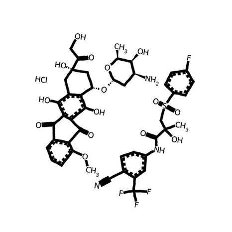 CC(O)(CS(=O)(=O)c1ccc(F)cc1)C(=O)Nc1ccc(C#N)c(C(F)(F)F)c1.COc1cccc2c1C(=O)c1c(O)c3c(c(O)c1C2=O)C[C@@](O)(C(=O)CO)C[C@@H]3O[C@H]1C[C@H](N)[C@H](O)[C@H](C)O1.Cl